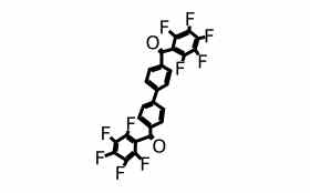 O=C(c1ccc(-c2ccc(C(=O)c3c(F)c(F)c(F)c(F)c3F)cc2)cc1)c1c(F)c(F)c(F)c(F)c1F